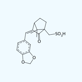 CC1(C)C2CCC1(CS(=O)(=O)O)C(=O)C2=Cc1ccc2c(c1)OCO2